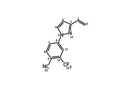 C=Cc1ccn(-c2ccc(C#N)c(C(F)(F)F)c2)n1